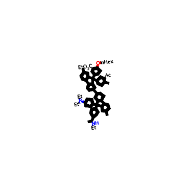 CCCCCCOc1ccc(C2(c3ccc(C)c(C(C)=O)c3)c3cc(C)ccc3-c3ccc(-c4ccc5c(c4)C(c4ccc(C(C)NCC)cc4)(c4ccc(N(CC)CC)cc4)c4cc(C)ccc4-5)cc32)cc1C(=O)OCC